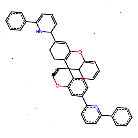 C1=CCC2C(=C1)OC1=C(CCC(C3C=CC=C(c4ccccc4)N3)=C1)C21c2ccccc2Oc2cc(-c3cccc(-c4ccccc4)n3)ccc21